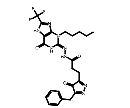 CCCCCn1c(=NNC(=O)CCC2=NN=C(Cc3ccccc3)C2=O)[nH]c(=O)c2[nH]c(C(F)(F)F)nc21